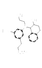 CNCCc1cc(C)cc(N(CCC#N)C2c3ccccc3CCC2C)c1